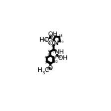 COC1=CCC(CC(NCO)C2O[C@@]3(C(O)O)CCCN23)C=C1